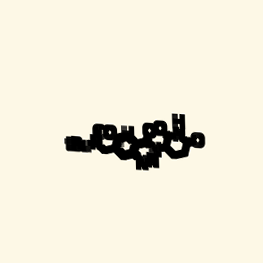 CC(C)(C)N(Cc1ccc2c(=O)n(C3CCC(=O)NC3=O)nnc2c1)C(=O)O